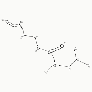 CC(C)CC(C)C(=O)OCCC=O